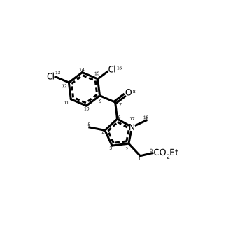 CCOC(=O)Cc1cc(C)c(C(=O)c2ccc(Cl)cc2Cl)n1C